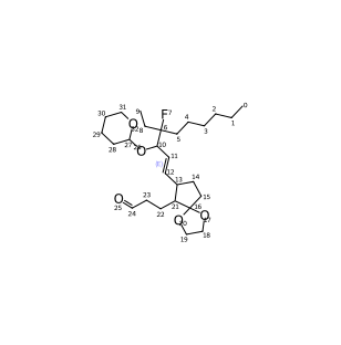 CCCCCCC(F)(CC)C(/C=C/C1CCC2(OCCO2)C1CCC=O)OC1CCCCO1